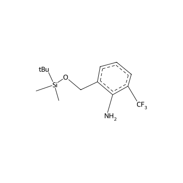 CC(C)(C)[Si](C)(C)OCc1cccc(C(F)(F)F)c1N